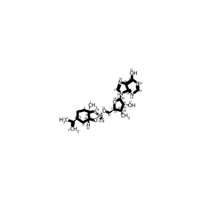 C=C(C)[C@H]1CC[C@@]2(C)S[P@](=S)(OC[C@H]3O[C@@H](n4cnc5c(O)ncnc54)[C@H](O)[C@@H]3C)O[C@@H]2C1